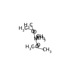 CCCCCCCCC(CCCCCC)COC(=O)CCCCCCCN(CCCCCCCC(=O)OCC(CCCCCC)CCCCCCCC)CCN(C)C